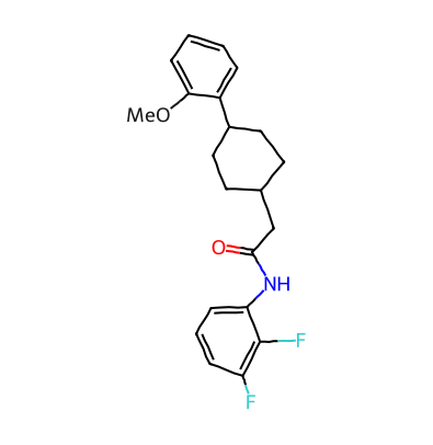 COc1ccccc1C1CCC(CC(=O)Nc2cccc(F)c2F)CC1